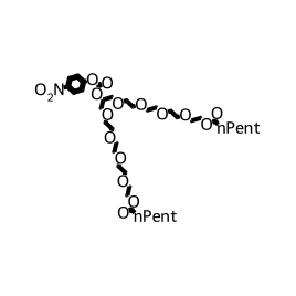 CCCCCC(=O)OCCOCCOCCOCCOCC(COCCOCCOCCOCCOC(=O)CCCCC)OC(=O)Oc1ccc([N+](=O)[O-])cc1